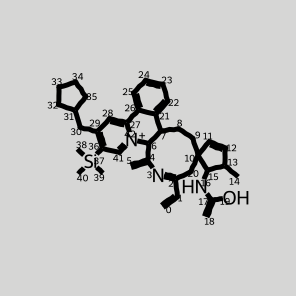 C=C/C1=N/C(=C)C2C(CCC3(C=CC(C)C3NC(=C)O)C1)c1ccccc1-c1cc(CC3CCCC3)c([Si](C)(C)C)c[n+]12